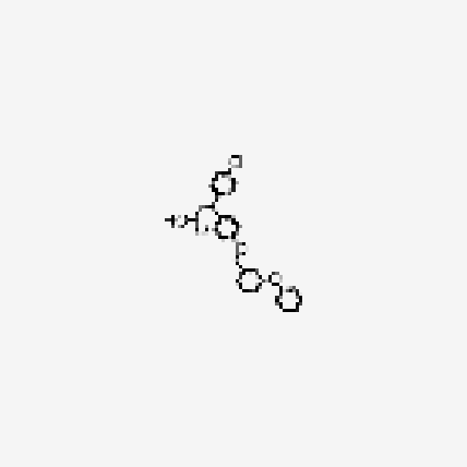 O=C(O)CC(c1ccc(Cl)cc1)c1ccc(OCc2cccc(Oc3ccccc3)c2)cc1